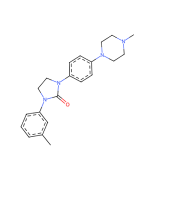 Cc1cccc(N2CCN(c3ccc(N4CCN(C)CC4)cc3)C2=O)c1